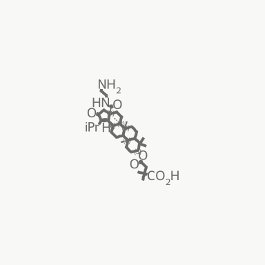 CC(C)C1=C2[C@H]3CCC4[C@@]5(C)CC[C@H](OC(=O)CC(C)(C)C(=O)O)C(C)(C)C5CC[C@@]4(C)[C@]3(C)CC[C@@]2(C(=O)NCCN)CC1=O